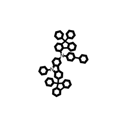 c1ccc(-c2ccc(N(c3ccc4c(c3)c3ccc(C5(c6ccccc6)c6ccccc6-c6ccccc65)cc3n4-c3ccccc3)c3cccc4c3-c3ccccc3C4(c3ccccc3)c3ccccc3)cc2)cc1